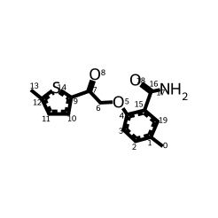 Cc1ccc(OCC(=O)c2ccc(C)s2)c(C(N)=O)c1